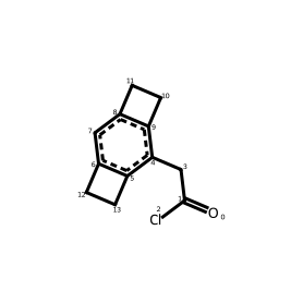 O=C(Cl)Cc1c2c(cc3c1CC3)CC2